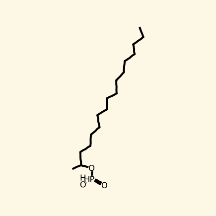 CCCCCCCCCCCCCCCC(C)O[PH](=O)O